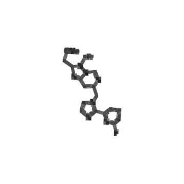 CCCN1C(COC)N=C2C=C(Cn3ccnc3-c3cccc(F)n3)N=CN21